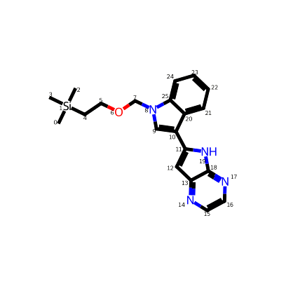 C[Si](C)(C)CCOCn1cc(-c2cc3nccnc3[nH]2)c2ccccc21